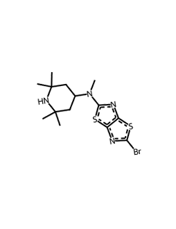 CN(c1nc2sc(Br)nc2s1)C1CC(C)(C)NC(C)(C)C1